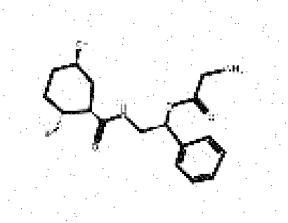 CC(C)[C@@H]1CC[C@@H](C)C[C@H]1C(=O)NC[C@@H](OC(=O)CN)c1ccccc1